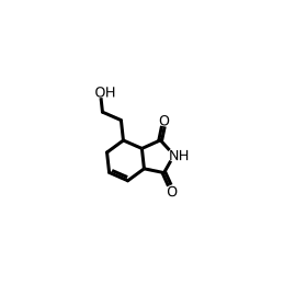 O=C1NC(=O)C2C(CCO)CC=CC12